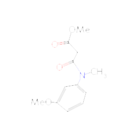 COC(=O)CC(=O)N(C)c1cccc(OC)c1